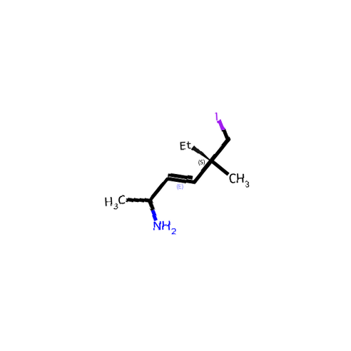 CC[C@@](C)(/C=C/C(C)N)CI